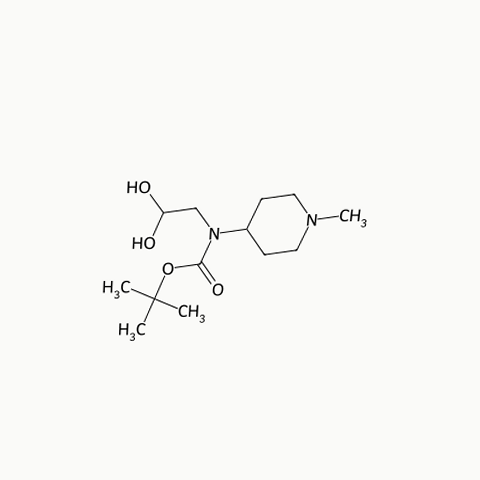 CN1CCC(N(CC(O)O)C(=O)OC(C)(C)C)CC1